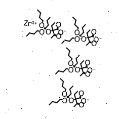 CCCCOC(CCC)(OCCCC)OC(CC)(C(C)=O)C(=O)[O-].CCCCOC(CCC)(OCCCC)OC(CC)(C(C)=O)C(=O)[O-].CCCCOC(CCC)(OCCCC)OC(CC)(C(C)=O)C(=O)[O-].CCCCOC(CCC)(OCCCC)OC(CC)(C(C)=O)C(=O)[O-].[Zr+4]